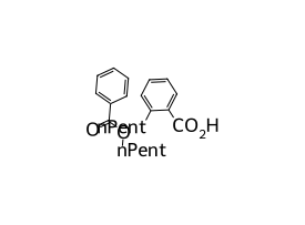 CCCCCOC(=O)c1ccccc1.CCCCCc1ccccc1C(=O)O